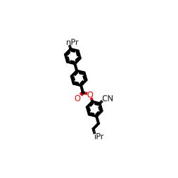 CCCc1ccc(-c2ccc(C(=O)Oc3ccc(CCC(C)C)cc3C#N)cc2)cc1